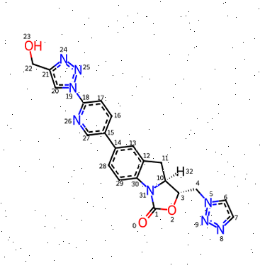 O=C1O[C@@H](Cn2ccnn2)[C@@H]2Cc3cc(-c4ccc(-n5cc(CO)nn5)nc4)ccc3N12